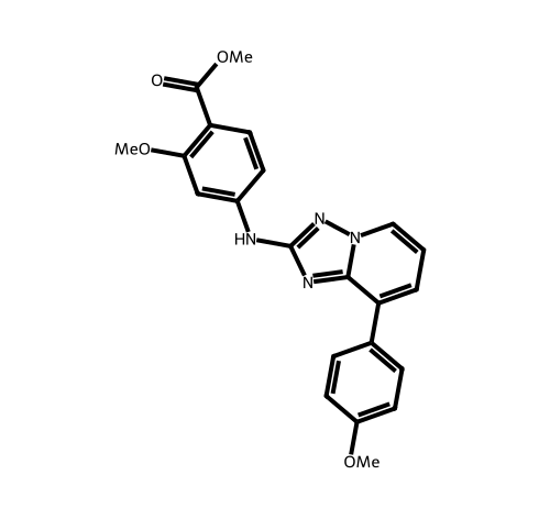 COC(=O)c1ccc(Nc2nc3c(-c4ccc(OC)cc4)cccn3n2)cc1OC